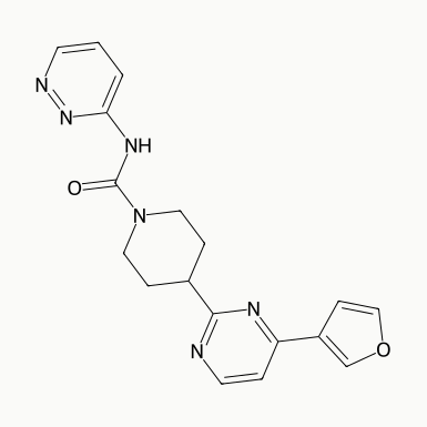 O=C(Nc1cccnn1)N1CCC(c2nccc(-c3ccoc3)n2)CC1